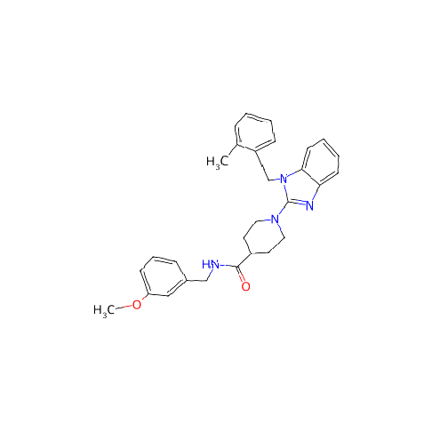 COc1cccc(CNC(=O)C2CCN(c3nc4ccccc4n3Cc3ccccc3C)CC2)c1